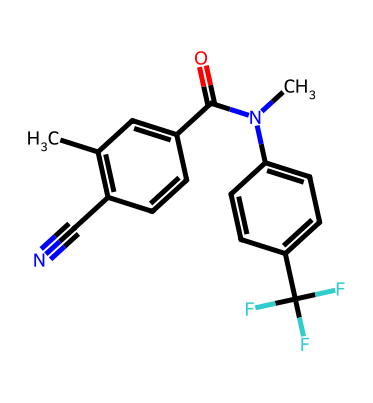 Cc1cc(C(=O)N(C)c2ccc(C(F)(F)F)cc2)ccc1C#N